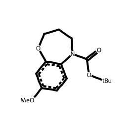 COc1ccc2c(c1)OCCCN2C(=O)OC(C)(C)C